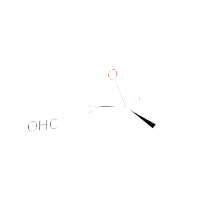 C[C@@H]1O[C@H]1C=O